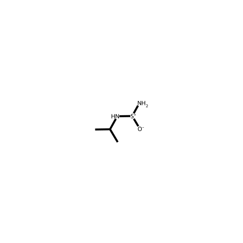 CC(C)N[S+](N)[O-]